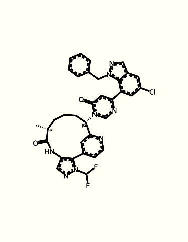 C[C@@H]1CCC[C@H](n2cnc(-c3cc(Cl)cc4cnn(Cc5ccccc5)c34)cc2=O)c2cc(ccn2)-c2c(cnn2C(F)F)NC1=O